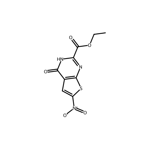 CCOC(=O)c1nc2sc([N+](=O)[O-])cc2c(=O)[nH]1